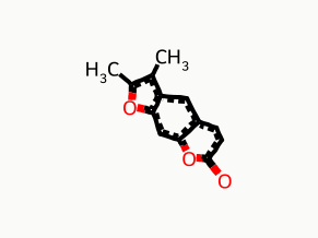 Cc1oc2cc3oc(=O)ccc3cc2c1C